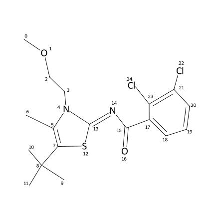 COCCn1c(C)c(C(C)(C)C)sc1=NC(=O)c1cccc(Cl)c1Cl